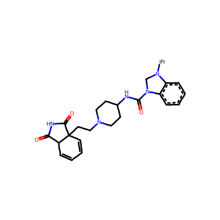 CC(C)N1CN(C(=O)NC2CCN(CCC34C=CC=CC3C(=O)NC4=O)CC2)c2ccccc21